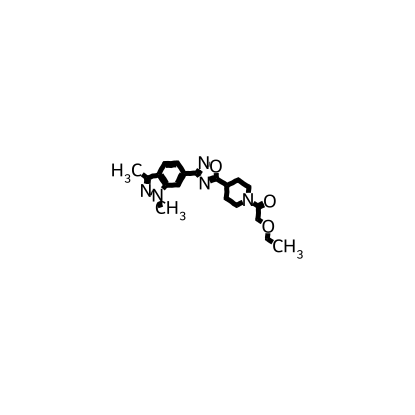 CCOCC(=O)N1CCC(c2nc(-c3ccc4c(C)nn(C)c4c3)no2)CC1